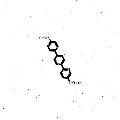 CCCCCCc1ccc(-c2ccc(-c3ccc(CCCCC)cn3)cc2)cc1